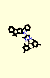 Cc1cc(C)c(B(c2ncc(-n3c4ccccc4c4cc5c(cc43)C(C)(C)c3ccccc3-5)c(C)n2)c2c(C)cc(C)cc2C)c(C)c1